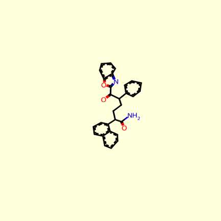 NC(=O)C(CCC(C(=O)c1nc2ccccc2o1)c1ccccc1)c1cccc2ccccc12